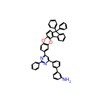 Nc1cccc(-c2cccc(-c3cc(-c4ccc5c(c4)Oc4c(ccc6c4-c4ccccc4C6(c4ccccc4)c4ccccc4)O5)nc(-c4ccccc4)n3)c2)c1